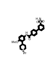 COc1ccc(NC(=O)c2ccc(-c3cccc(S(N)(=O)=O)c3)cc2)cc1C1CCN(C(C)C)CC1